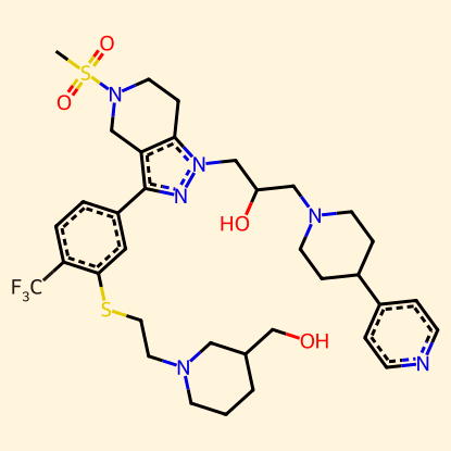 CS(=O)(=O)N1CCc2c(c(-c3ccc(C(F)(F)F)c(SCCN4CCCC(CO)C4)c3)nn2CC(O)CN2CCC(c3ccncc3)CC2)C1